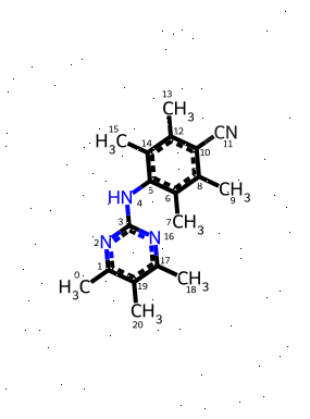 Cc1nc(Nc2c(C)c(C)c(C#N)c(C)c2C)nc(C)c1C